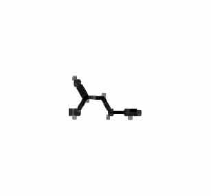 COSCC(=O)O